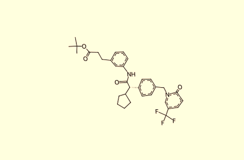 CC(C)(C)OC(=O)CCc1cccc(NC(=O)[C@H](c2ccc(Cn3cc(C(F)(F)F)ccc3=O)cc2)C2CCCC2)c1